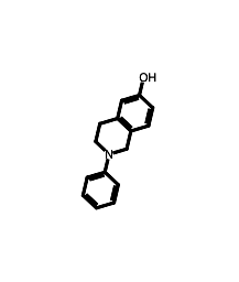 Oc1ccc2c(c1)CCN(c1ccccc1)C2